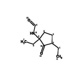 CCC1CCC(CC)(NC=O)C1=O